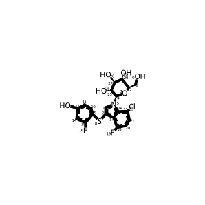 OC[C@H]1O[C@@H](n2cc(Sc3ccc(O)cc3F)c3c(F)ccc(Cl)c32)[C@H](O)[C@@H](O)[C@@H]1O